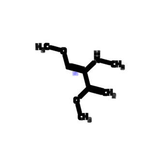 C=C(OC)/C(=C/OC)NC